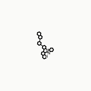 c1cc(-c2ccc3ccccc3c2)cc(-c2ccc3c(c2)c2ccc4cccnc4c2c2nc4ccccc4n32)c1